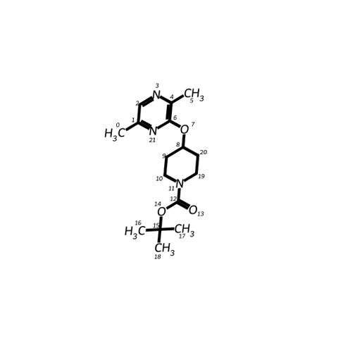 Cc1cnc(C)c(OC2CCN(C(=O)OC(C)(C)C)CC2)n1